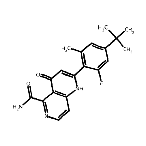 Cc1cc(C(C)(C)C)cc(F)c1-c1cc(=O)c2c(C(N)=O)nccc2[nH]1